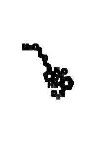 COCCOCCN1CC[C@@H](Nc2c([N+](=O)[O-])cccc2S(N)(=O)=O)C1